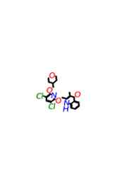 Cc1c(COc2nc(OCC3CCOCC3)c(Cl)cc2Cl)[nH]c2ccccc2c1=O